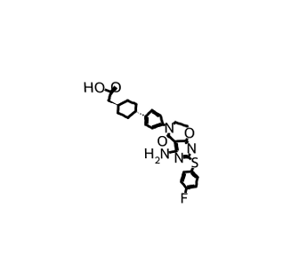 Nc1nc(Sc2ccc(F)cc2)nc2c1C(=O)N(c1ccc([C@H]3CC[C@H](CC(=O)O)CC3)cc1)CCO2